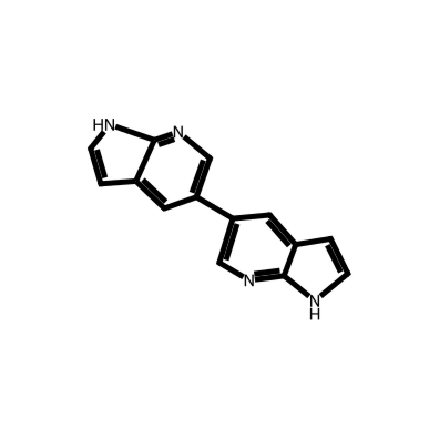 c1cc2cc(-c3cnc4[nH]ccc4c3)cnc2[nH]1